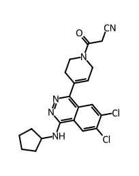 N#CCC(=O)N1CC=C(c2nnc(NC3CCCC3)c3cc(Cl)c(Cl)cc23)CC1